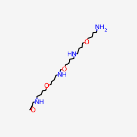 NCCCCOCCCCNCCCCOCNCCCCOCCCCNCC1CO1